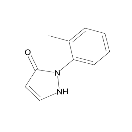 Cc1ccccc1-n1[nH]ccc1=O